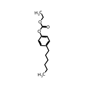 CCCCCCc1ccc(OC(=O)OCC)cc1